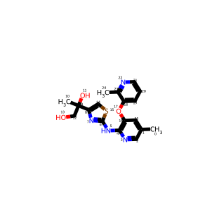 Cc1cnc(Nc2nc(C(C)(O)CO)cs2)c(Oc2cccnc2C)c1